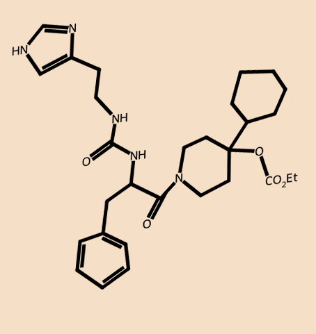 CCOC(=O)OC1(C2CCCCC2)CCN(C(=O)C(Cc2ccccc2)NC(=O)NCCc2c[nH]cn2)CC1